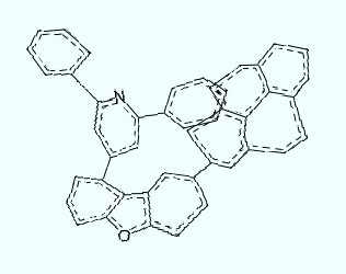 c1ccc(-c2cc(-c3cccc4oc5ccc(-c6cc7ccc8cccc9ccc(c6)c7c89)cc5c34)cc(-c3ccccc3)n2)cc1